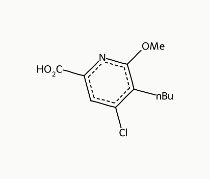 CCCCc1c(Cl)cc(C(=O)O)nc1OC